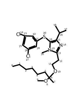 CCCCCCC(C)(OC)OCCc1nc(C(C)C)c(Sc2cc(Cl)cc(Cl)c2)n1C